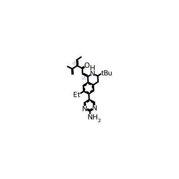 C=C(C)/C(=C/C)C(=O)/C=C1\NC(C(C)(C)C)Cc2cc(-c3cnc(N)nc3)c(CC)cc21